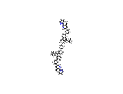 CC1(C)c2cc(-c3ccc(-c4ccc5c(c4)C(C)(C)c4cc(-c6cccc(-c7cnc8c(ccc9cccnc98)c7)c6)ccc4-5)cc3)ccc2-c2ccc(-c3cccc(-c4cnc5c(ccc6cccnc65)c4)c3)cc21